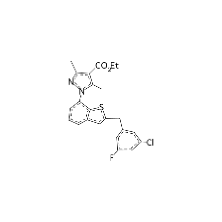 CCOC(=O)c1c(C)nn(-c2cccc3cc(Cc4cc(F)cc(Cl)c4)sc23)c1C